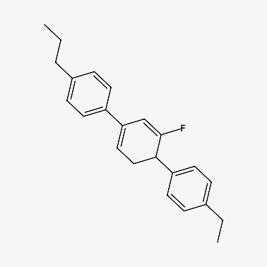 CCCc1ccc(C2=CCC(c3ccc(CC)cc3)C(F)=C2)cc1